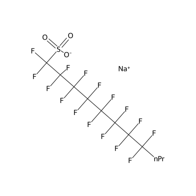 CCCC(F)(F)C(F)(F)C(F)(F)C(F)(F)C(F)(F)C(F)(F)C(F)(F)C(F)(F)S(=O)(=O)[O-].[Na+]